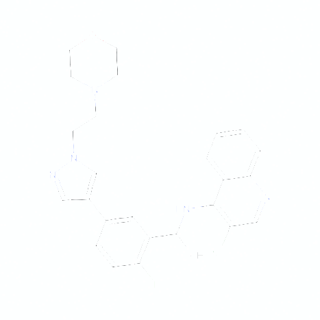 CC(Nc1c(Cl)cnc2ccccc12)c1cc(-c2cnn(CCN3CCOCC3)c2)ccc1F